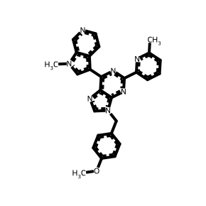 COc1ccc(Cn2cnc3c(-c4cn(C)c5cnccc45)nc(-c4cccc(C)n4)nc32)cc1